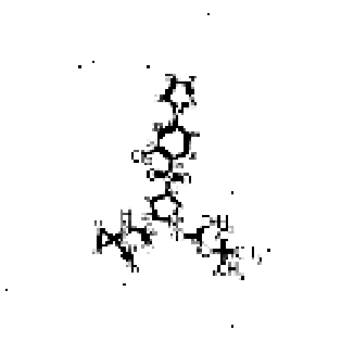 CC(C)(C)OC(=O)ON1C[C@H](S(=O)(=O)c2ccc(-n3cccn3)cc2Cl)C[C@H]1C(=O)NC1(C#N)CC1